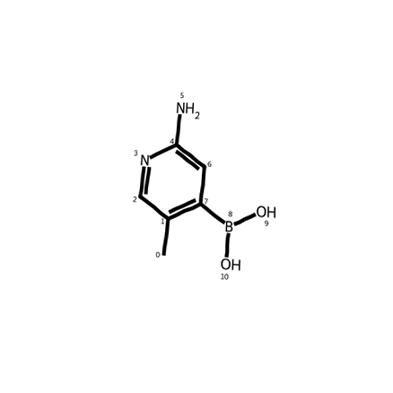 Cc1cnc(N)cc1B(O)O